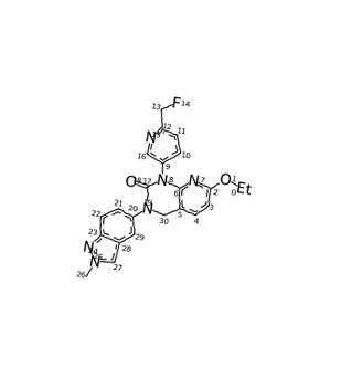 CCOc1ccc2c(n1)N(c1ccc(CF)nc1)C(=O)N(c1ccc3nn(C)cc3c1)C2